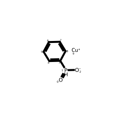 O=[PH]([O-])c1ccccc1.[Cu+]